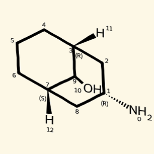 N[C@H]1C[C@H]2CCC[C@@H](C1)C2O